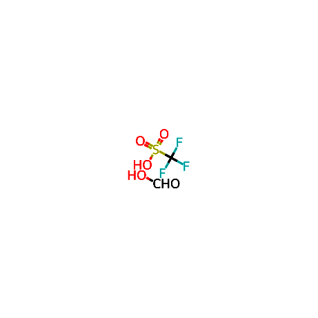 O=CO.O=S(=O)(O)C(F)(F)F